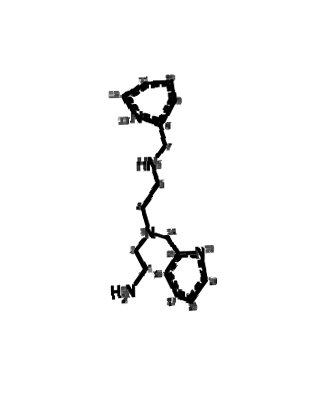 NCCN(CCNCc1ccccn1)Cc1ccccn1